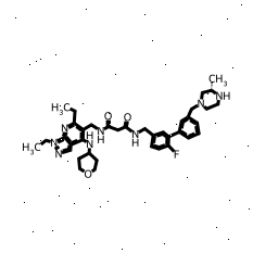 CCc1nc2c(cnn2CC)c(NC2CCOCC2)c1CNC(=O)CC(=O)NCc1ccc(F)c(-c2cccc(CN3CCN[C@@H](C)C3)c2)c1